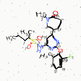 CCCC(C)S(=O)(=O)Nc1cc(-c2ccc(=O)n(C)c2)nc(Oc2c(C)cccc2F)n1